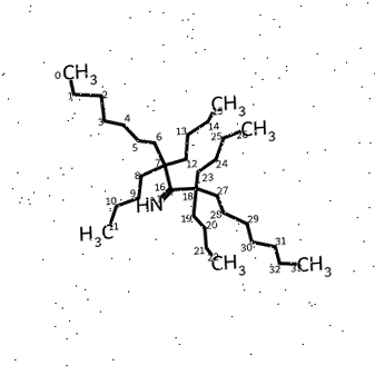 CCCCCCCC(CCCC)(CCCC)C(=N)C(CCCC)(CCCC)CCCCCCC